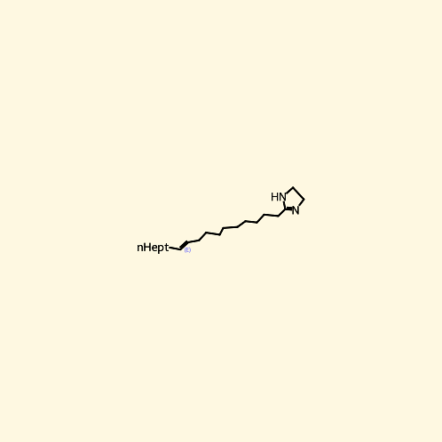 CCCCCCC/C=C/CCCCCCCCCC1=NCCN1